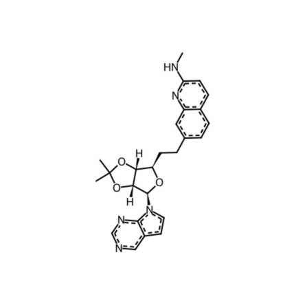 CNc1ccc2ccc(CC[C@H]3O[C@@H](n4ccc5cncnc54)[C@@H]4OC(C)(C)O[C@@H]43)cc2n1